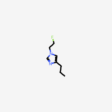 CCCc1cn(CCF)cn1